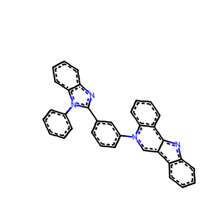 c1ccc(-n2c(-c3cccc(-n4cc5c6ccccc6nc-5c5ccccc54)c3)nc3ccccc32)cc1